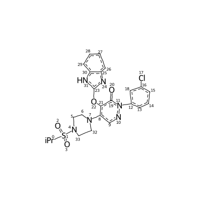 CC(C)S(=O)(=O)N1CCN(c2cnn(-c3cccc(Cl)c3)c(=O)c2Oc2nc3ccccc3[nH]2)CC1